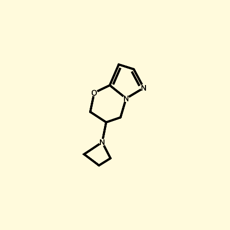 c1cc2n(n1)CC(N1CCC1)CO2